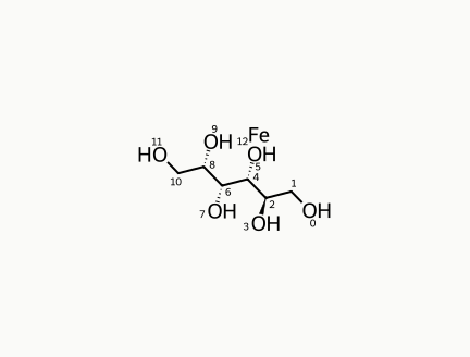 OC[C@@H](O)[C@@H](O)[C@H](O)[C@@H](O)CO.[Fe]